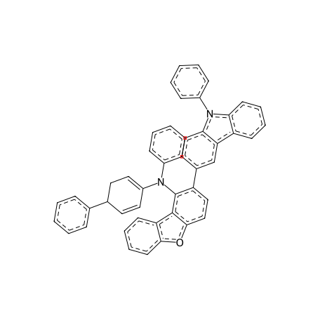 C1=CC(c2ccccc2)CC=C1N(c1ccccc1)c1c(-c2ccc3c(c2)c2ccccc2n3-c2ccccc2)ccc2oc3ccccc3c12